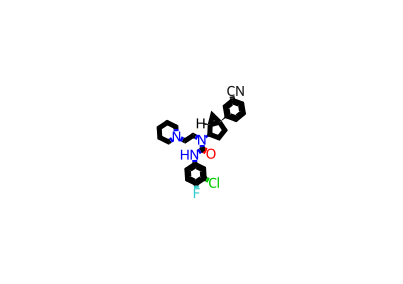 N#Cc1cccc([C@]23CC[C@@H](N(CCN4CCCCC4)C(=O)Nc4ccc(F)c(Cl)c4)[C@H]2C3)c1